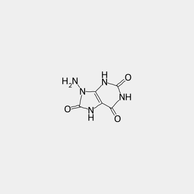 Nn1c(=O)[nH]c2c(=O)[nH]c(=O)[nH]c21